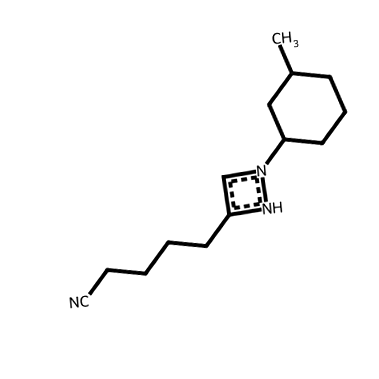 CC1CCCC(n2cc(CCCCC#N)[nH]2)C1